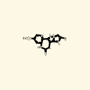 CCOC(=O)c1cnc2c(c1)NC(=O)Cc1c-2nn2cc(Br)sc12